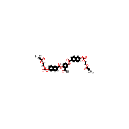 C=CC(=O)OCCOC(=O)Oc1ccc2cc(C(=O)Oc3ccc(OC(=O)c4ccc5cc(OC(=O)OCCOC(=O)C=C)ccc5c4)c(C(=O)CC)c3)ccc2c1